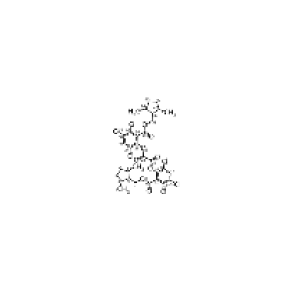 CC1CCC(C)C1COC(=O)c1c(Cl)c(Cl)cc(Cl)c1OC(=O)C(=O)Oc1c(Cl)cc(Cl)c(Cl)c1C(=O)OCC1C(C)CCC1C